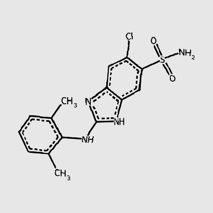 Cc1cccc(C)c1Nc1nc2cc(Cl)c(S(N)(=O)=O)cc2[nH]1